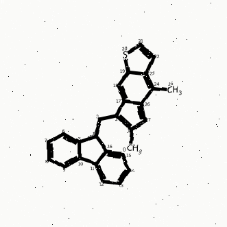 CC1=C(CC2c3ccccc3-c3ccccc32)C2=CC3SC=CC3=C(C)C2=C1